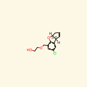 OCCOCc1cc(Cl)cc2c1O[C@@H]1CC=C[C@H]21